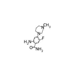 CN1CCCN(c2cc(N)c(C(N)=O)cc2F)CC1